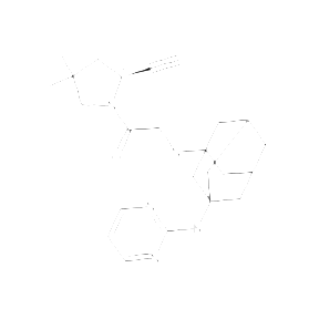 C#C[C@@H]1CC(F)(F)CN1C(=O)CNC12CC3CC(C1)CC(Nc1ncccn1)(C3)C2